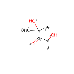 CC(O)C(=O)C(O)([C]=O)C(C)C